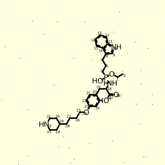 CCO[PH](O)(CCCc1c[nH]c2ccccc12)NC(Cc1ccc(OCCCCC2CCNCC2)cc1)C(=O)O